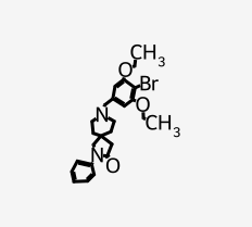 CCOc1cc(CN2CCC3(CC2)CC(=O)N(c2ccccc2)C3)cc(OCC)c1Br